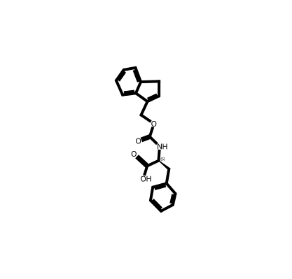 O=C(N[C@@H](Cc1ccccc1)C(=O)O)OCC1=CCc2ccccc21